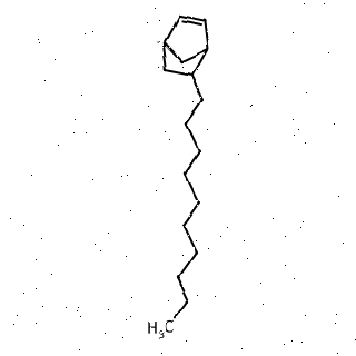 CCCCCCCCCCC1C[C]2C=CC1C2